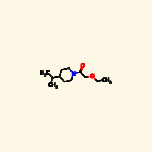 CCOCC(=O)N1CCC(C(C)C)CC1